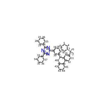 CC1(C)c2ccccc2-c2c1ccc1c2C(c2cccc(-c3nc(-c4ccccc4)nc(-c4ccccc4)n3)c2)Cc2ccccc2-1